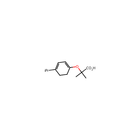 CC(C)C1=CC=C(OC(C)(C)C(=O)O)CC1